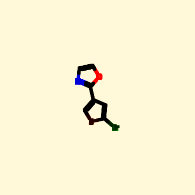 Brc1cc(-c2ncco2)cs1